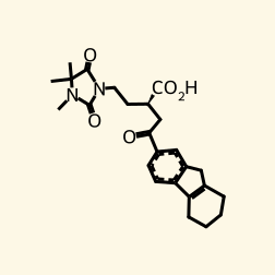 CN1C(=O)N(CC[C@H](CC(=O)c2ccc3c(c2)CC2=C3CCCC2)C(=O)O)C(=O)C1(C)C